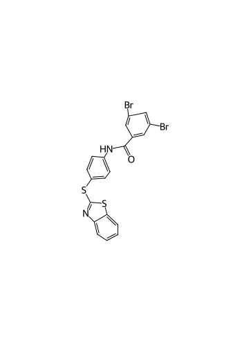 O=C(Nc1ccc(Sc2nc3ccccc3s2)cc1)c1cc(Br)cc(Br)c1